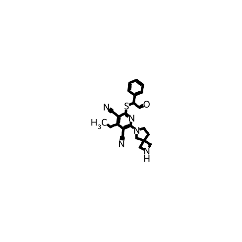 CCc1c(C#N)c(SC(C=O)c2ccccc2)nc(N2CCC3(CNC3)C2)c1C#N